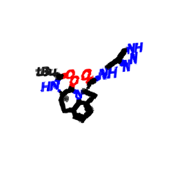 CC(C)(C)C(=O)N[C@H]1CCc2cccc3c2N(C1=O)[C@H](C(=O)NCc1c[nH]nn1)C3